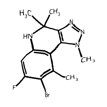 Cc1c(Br)c(F)cc2c1-c1c(nnn1C)C(C)(C)N2